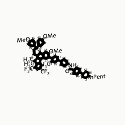 CCCCCC1CCC(c2ccc(C(=O)Nc3ccc(-c4ccc(-c5cc6c7c(c8c(c6cc5OC)OC(c5ccc(OC)cc5)(c5ccc(OC)cc5)C=C8)C(C)(C)c5c-7cc(C(F)(F)F)cc5C(F)(F)F)c(C)c4)cc3)cc2)CC1